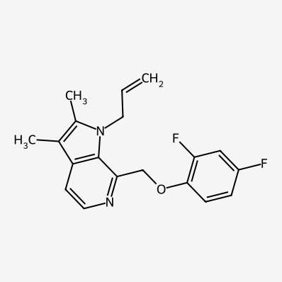 C=CCn1c(C)c(C)c2ccnc(COc3ccc(F)cc3F)c21